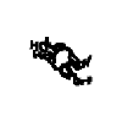 C[C@H](O)C1=CC=C2CCOC(C)(O)c3cc(ccc3CO)CCOC(C)(O)C1C2I